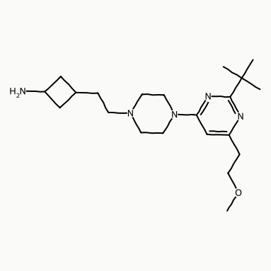 COCCc1cc(N2CCN(CCC3CC(N)C3)CC2)nc(C(C)(C)C)n1